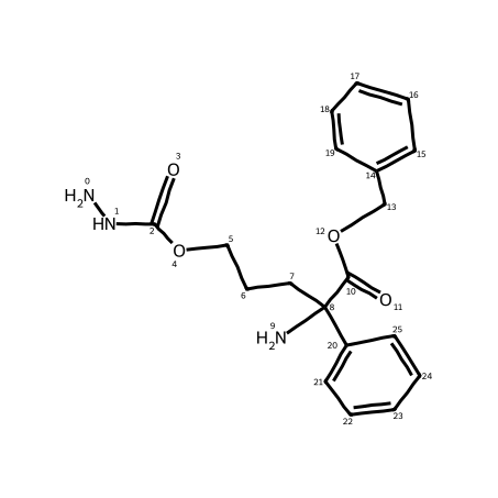 NNC(=O)OCCCC(N)(C(=O)OCc1ccccc1)c1ccccc1